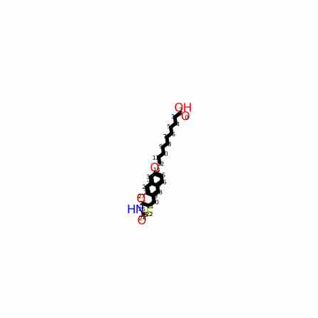 O=C(O)CCCCCCCCCCOc1ccc2cc(CC3SC(=O)NC3=O)ccc2c1